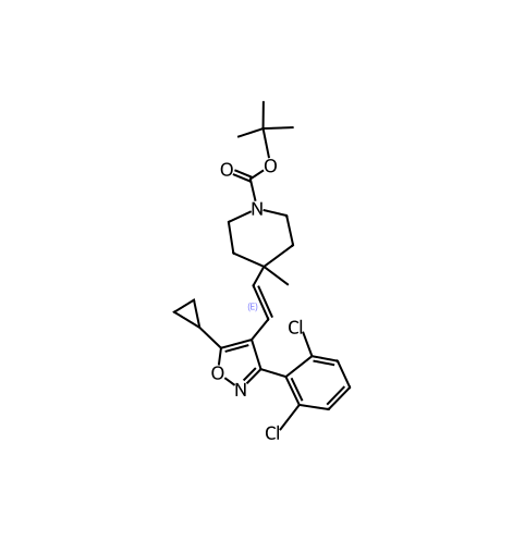 CC1(/C=C/c2c(-c3c(Cl)cccc3Cl)noc2C2CC2)CCN(C(=O)OC(C)(C)C)CC1